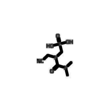 CN(C)C(=O)N(CC#N)CP(=O)(O)O